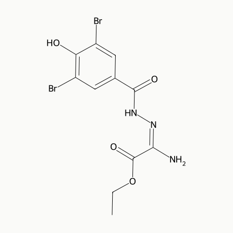 CCOC(=O)/C(N)=N\NC(=O)c1cc(Br)c(O)c(Br)c1